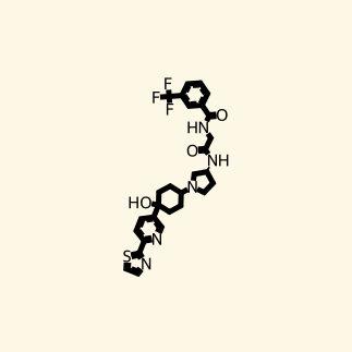 O=C(CNC(=O)c1cccc(C(F)(F)F)c1)N[C@@H]1CCN(C2CCC(O)(c3ccc(-c4nccs4)nc3)CC2)C1